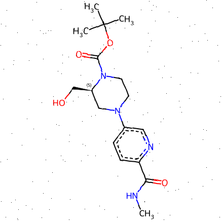 CNC(=O)c1ccc(N2CCN(C(=O)OC(C)(C)C)[C@H](CO)C2)cn1